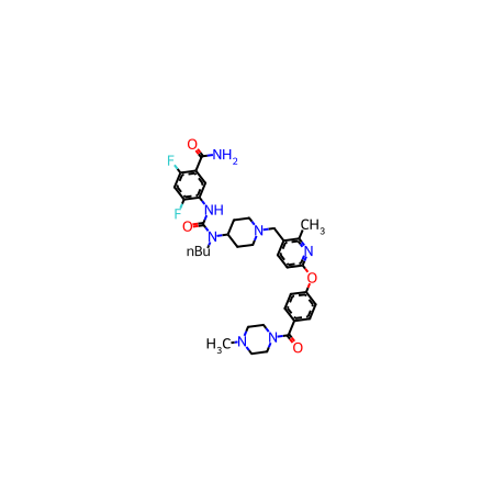 CCCCN(C(=O)Nc1cc(C(N)=O)c(F)cc1F)C1CCN(Cc2ccc(Oc3ccc(C(=O)N4CCN(C)CC4)cc3)nc2C)CC1